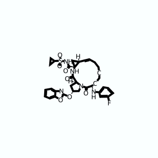 O=C1N[C@]2(C(=O)NS(=O)(=O)C3CC3)C[C@H]2/C=C\CCCCC[C@H](Nc2cccc(F)c2)C(=O)N2C[C@H](Oc3nc4ccccc4o3)C[C@@H]12